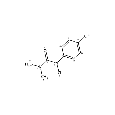 CN(C)C(=O)N(Cl)c1ccc(Cl)cc1